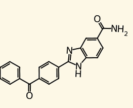 NC(=O)c1ccc2[nH]c(-c3ccc(C(=O)c4ccccc4)cc3)nc2c1